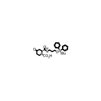 CC(C)(C)[Si](OCCCNC(=O)[C@@H]1CC(=O)CCN1C(=O)O)(c1ccccc1)c1ccccc1